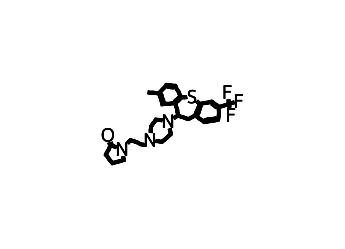 Cc1ccc2c(c1)C(N1CCN(CCN3CCCC3=O)CC1)Cc1ccc(C(F)(F)F)cc1S2